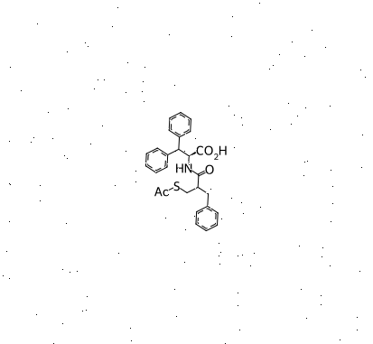 CC(=O)SCC(Cc1ccccc1)C(=O)N[C@H](C(=O)O)C(c1ccccc1)c1ccccc1